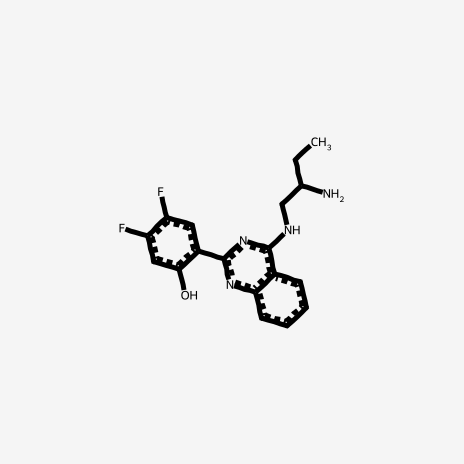 CCC(N)CNc1nc(-c2cc(F)c(F)cc2O)nc2ccccc12